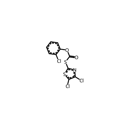 O=C(Oc1ccccc1Cl)Sc1nc(Cl)c(Cl)s1